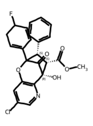 COC(=O)[C@H]1[C@@H](c2ccccc2)C2(C3=CCC(F)C=C3)Oc3cc(Cl)cnc3[C@@]1(O)C2=O